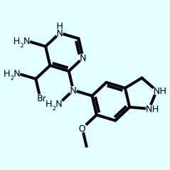 COc1cc2c(cc1N(N)C1=C(C(N)Br)C(N)NC=N1)CNN2